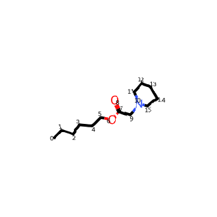 CCCCCCOC(=O)CN1CCCCC1